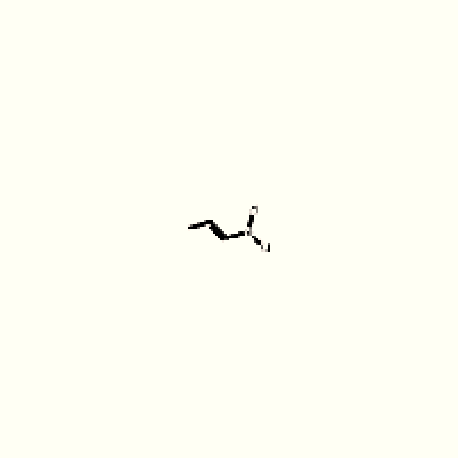 CC=C[Si](Cl)Cl